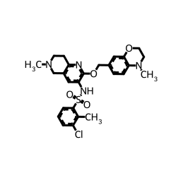 Cc1c(Cl)cccc1S(=O)(=O)Nc1cc2c(nc1OCc1ccc3c(c1)OCCN3C)CCN(C)C2